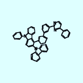 c1ccc2c3ccccc3n(-c3ccc4c(c3C3=CC(c5cccc(-c6nccc(-c7ccccc7)n6)c5)=CCC3)c3ccccc3n4-c3ccccc3)c2c#1